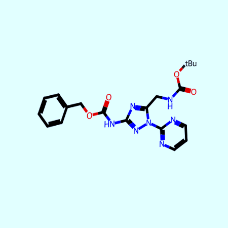 CC(C)(C)OC(=O)NCc1nc(NC(=O)OCc2ccccc2)nn1-c1ncccn1